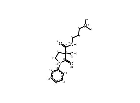 CN(C)CCCNC(=O)[C@@]1(O)CCN(c2ccccc2)C1=O